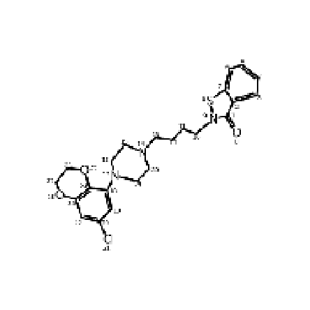 O=c1c2ccccc2sn1CCCCN1CCN(c2cc(Cl)cc3c2OCCO3)CC1